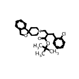 CC(C)(C)OC(=O)C(Cc1ccccc1Cl)CN1CCC2(CC1)OCc1ccccc12